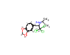 CC(C)NC(c1ccc2c(c1)OCO2)C(Cl)(Cl)Cl